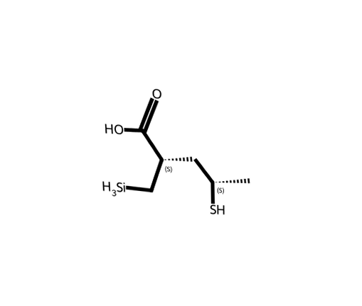 C[C@H](S)C[C@H](C[SiH3])C(=O)O